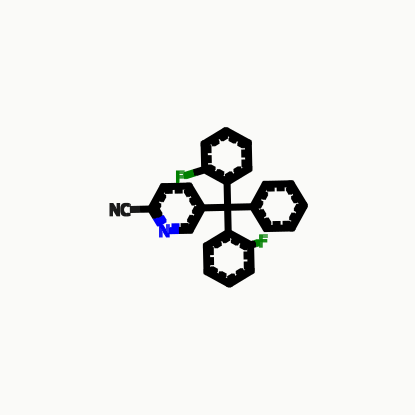 N#Cc1ccc(C(c2ccccc2)(c2ccccc2F)c2ccccc2F)cn1